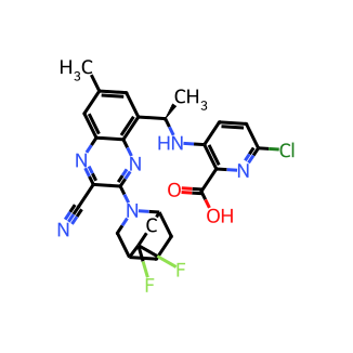 Cc1cc([C@@H](C)Nc2ccc(Cl)nc2C(=O)O)c2nc(N3CC4CCC3CC4(F)F)c(C#N)nc2c1